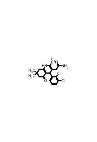 CC1=C(CC(N)=O)C(c2cccc(Cl)c2Cl)C2=C(CC(C)(C)CC2=O)N1